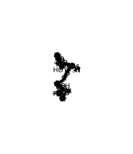 Cc1ncsc1-c1ccc(CNC(=O)[C@@H]2C[C@@H](O)CN2C(=O)[C@H](C(C)C)N2Cc3ccccc3C2=O)c(OCCOCCOCC#Cc2cccc3c2C(O)N(C(C(=O)Nc2nccs2)c2cc(F)ccc2OCc2ccccc2)C3)c1